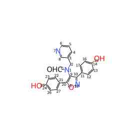 O=CN(Cc1cccnc1)c1c(-c2ccc(O)cc2)noc1-c1ccc(O)cc1